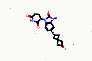 Cn1c(=O)n(C2CCC(=O)NC2=O)c2ccc(C3CC4(CC(=O)C4)C3)cc21